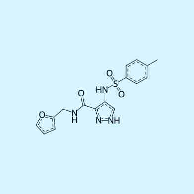 Cc1ccc(S(=O)(=O)Nc2c[nH]nc2C(=O)NCc2ccco2)cc1